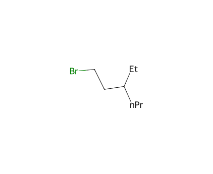 [CH2]CCC(CC)CCBr